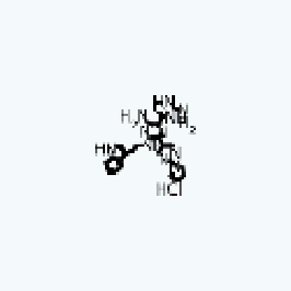 Cl.N=C(N)NC(=O)c1nc(-c2cnc(N3CCCC3)nc2)c(NCCc2c[nH]c3ccccc23)nc1N